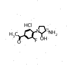 CC(=O)c1ccc(N2CC[C@H](N)C2O)c(F)c1.Cl